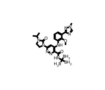 BC(B)(B)NC(=O)c1nnc(N2CCN(C(C)C)C2=O)cc1Nc1cccc(-c2ncn(C)n2)c1OC